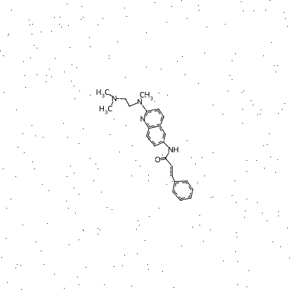 CN(C)CCN(C)c1ccc2cc(NC(=O)C=Cc3ccccc3)ccc2n1